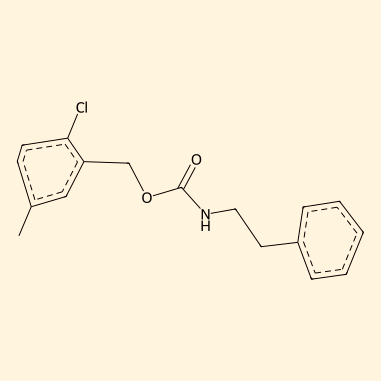 Cc1ccc(Cl)c(COC(=O)NCCc2ccccc2)c1